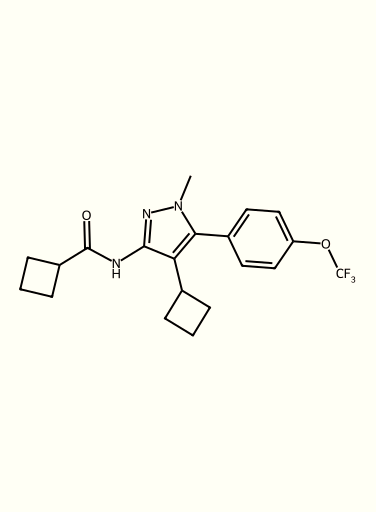 Cn1nc(NC(=O)C2CCC2)c(C2CCC2)c1-c1ccc(OC(F)(F)F)cc1